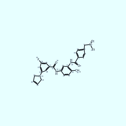 CCN(CC)Cc1ccc(C(=O)Nc2cc(NC(=O)c3cc(F)cc(N4CC=CC4)c3)ccc2C)cc1